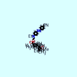 CCN(CCOC(=O)C(C)(CC(C)(CC)C(CC)(CC)C(C)(CC(C)(C)CC)C(=O)OC)C(C)(C)CC)c1ccc(/N=N/c2ccc(C#N)cc2)cc1